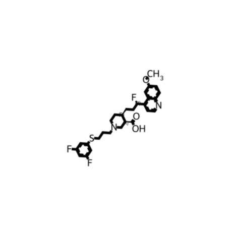 COc1ccc2nccc([C@H](F)CC[C@@H]3CCN(CCCSc4cc(F)cc(F)c4)C[C@@H]3C(=O)O)c2c1